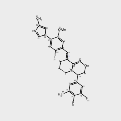 COc1cc(/C=C2\CCCN3C2=NOCC3c2cc(C)c(F)c(F)c2)c(I)cc1-n1cnc(C)c1